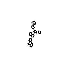 CC1(C)c2ccccc2-c2cc(-c3ccc(-c4nc(-c5ccccc5)cc(-c5ccc6sc7ccccc7c6c5)n4)c4ccccc34)ccc21